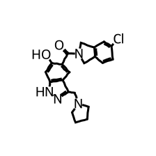 O=C(c1cc2c(CN3CCCC3)n[nH]c2cc1O)N1Cc2ccc(Cl)cc2C1